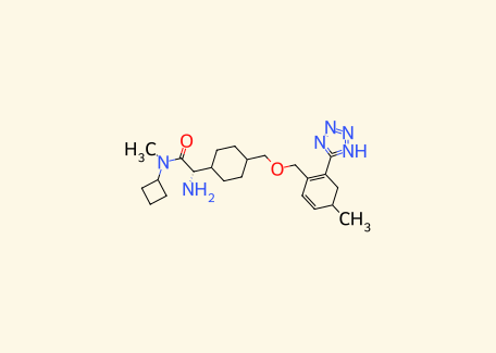 CC1C=CC(COCC2CCC([C@H](N)C(=O)N(C)C3CCC3)CC2)=C(c2nnn[nH]2)C1